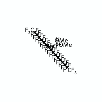 CO[SiH](OC)OC.FC(F)(F)C(F)(F)C(F)(F)C(F)(F)C(F)(F)C(F)(F)C(F)(F)C(F)(F)C(F)(F)C(F)(F)C(F)(F)C(F)(F)C(F)(F)C(F)(F)C(F)(F)C(F)(F)C(F)(F)F